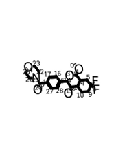 COC(=O)C1CC(F)(F)CCC1C(=O)Cc1ccc(C(=O)N2CCOCC2)cc1